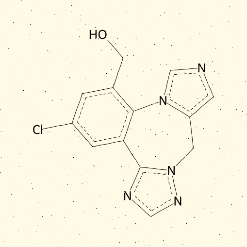 OCc1cc(Cl)cc2c1-n1cncc1Cn1ncnc1-2